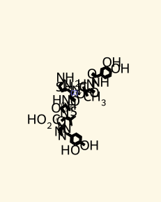 CC(C)(O/N=C(\C(=O)N[C@@H]1C(=O)N2C(OC(=O)O)=C(Cn3nnnc3-c3ccc(O)c(O)c3)CS[C@H]12)c1csc(N)n1)C(=O)NNC(=O)c1ccc(O)c(O)c1